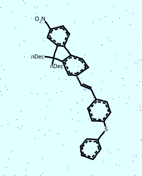 CCCCCCCCCCC1(CCCCCCCCCC)c2cc(/C=C/c3ccc(Sc4ccccc4)cc3)ccc2-c2ccc([N+](=O)[O-])cc21